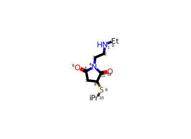 CCNCCN1C(=O)CC(SC(C)C)C1=O